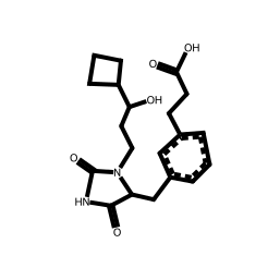 O=C(O)CCc1cccc(CC2C(=O)NC(=O)N2CCC(O)C2CCC2)c1